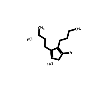 CCCCC1=CC[C]([Zr])=C1CCCC.Cl.Cl